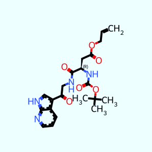 C=CCOC(=O)C[C@@H](NC(=O)OC(C)(C)C)C(=O)NCC(=O)c1c[nH]c2ncccc12